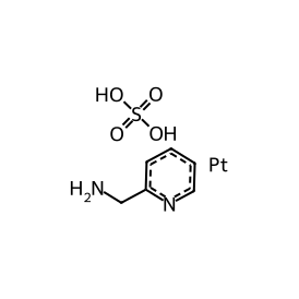 NCc1ccccn1.O=S(=O)(O)O.[Pt]